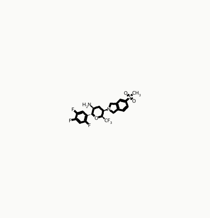 CS(=O)(=O)c1ccc2c(c1)CN([C@@H]1C[C@H](N)[C@@H](c3cc(F)c(F)cc3F)O[C@@H]1C(F)(F)F)C2